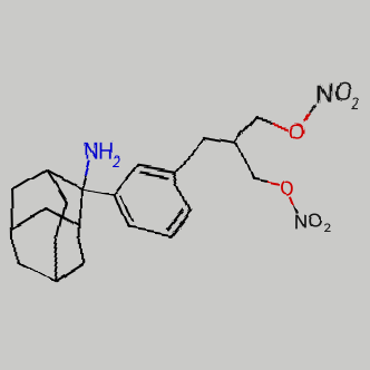 NC1(c2cccc(CC(CO[N+](=O)[O-])CO[N+](=O)[O-])c2)C2CC3CC(C2)CC1C3